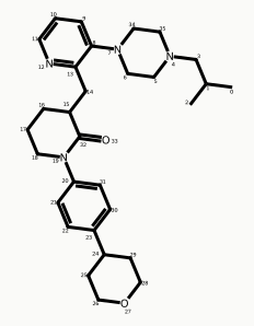 CC(C)CN1CCN(c2cccnc2CC2CCCN(c3ccc(C4CCOCC4)cc3)C2=O)CC1